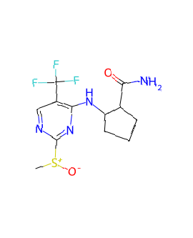 C[S+]([O-])c1ncc(C(F)(F)F)c(NC2CCCC2C(N)=O)n1